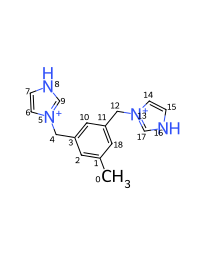 Cc1cc(C[n+]2cc[nH]c2)cc(C[n+]2cc[nH]c2)c1